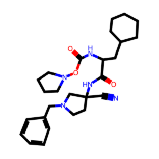 N#CC1(NC(=O)C(CC2CCCCC2)NC(=O)ON2CCCC2)CCN(Cc2ccccc2)C1